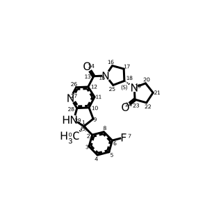 C[C@@]1(c2cccc(F)c2)Cc2cc(C(=O)N3CC[C@H](N4CCCC4=O)C3)cnc2N1